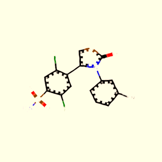 N#Cc1cccc(-n2c(-c3cc(F)c(S(N)(=O)=O)cc3F)csc2=O)c1